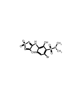 COC1=NS(=O)(=O)N=C1Nc1ccc(Br)c(S(=O)(=O)N(C)C)c1O